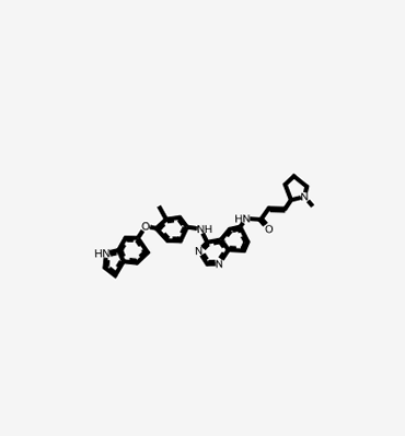 Cc1cc(Nc2ncnc3ccc(NC(=O)/C=C/C4CCCN4C)cc23)ccc1Oc1ccc2cc[nH]c2c1